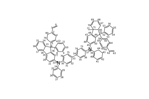 C=CC1=CC=C(C2(c3ccccc3)c3ccccc3-c3ccc(N(c4ccccc4)c4ccc(-c5ccc(N(C6=CC=CCC6)c6ccc7c(c6)C(c6ccccc6)(c6ccc(C=C)cc6)C6C=CC=CC76C)cc5)cc4)cc32)CC1